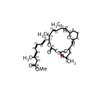 C=C1CC2C[C@@H]3CCC[C@H](C[C@@H](C)/C=C/[C@H](C)[C@H](/C=C/C=C\C=C(/C)CC(=O)OC)OC(=O)C[C@H](C1)O2)O3